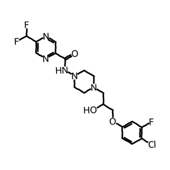 O=C(NN1CCN(CC(O)COc2ccc(Cl)c(F)c2)CC1)c1cnc(C(F)F)cn1